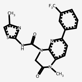 Cc1csc(NC(=O)N2CC(=O)N(C)c3ccc(-c4cccc(C(F)(F)F)c4)nc32)n1